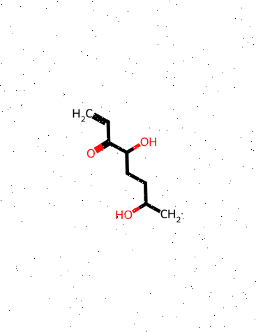 [CH2]C(O)CCC(O)C(=O)C=C